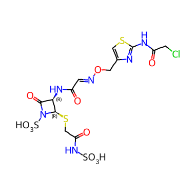 O=C(C=NOCc1csc(NC(=O)CCl)n1)N[C@@H]1C(=O)N(S(=O)(=O)O)[C@@H]1SCC(=O)NS(=O)(=O)O